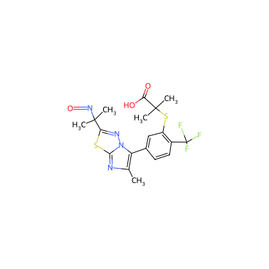 Cc1nc2sc(C(C)(C)N=O)nn2c1-c1ccc(C(F)(F)F)c(SC(C)(C)C(=O)O)c1